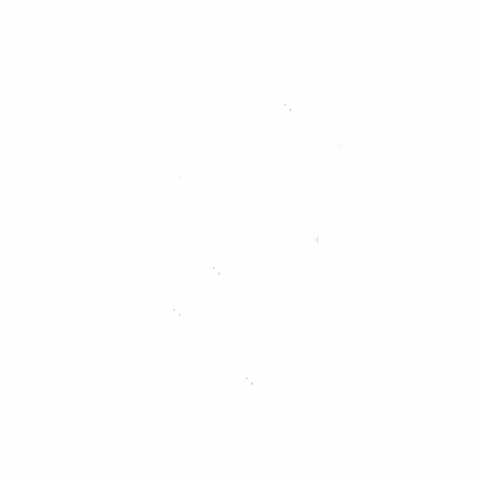 CC1N=c2ccc(F)c(S(=O)(=O)c3ccc(N(C)c4ccncc4)nc3)c2=C1CC(=O)O